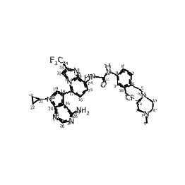 CN1CCN(Cc2ccc(NC(=O)Nc3ccc(-c4cn(C5CC5)c5ncnc(N)c45)n4cc(C(F)(F)F)nc34)cc2C(F)(F)F)CC1